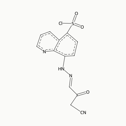 N#CCC(=O)C=NNc1ccc(S(=O)(=O)Cl)c2cccnc12